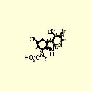 CN(C(=O)O)c1cc(Cl)cc2c1[nH]c1ncc(Br)c(Cl)c12